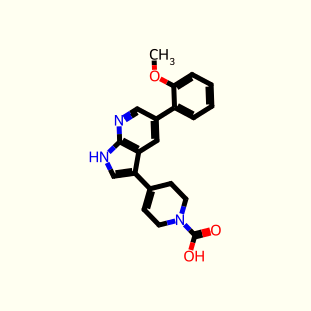 COc1ccccc1-c1cnc2[nH]cc(C3=CCN(C(=O)O)CC3)c2c1